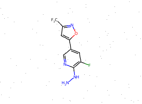 NNc1ncc(-c2cc(C(F)(F)F)no2)cc1F